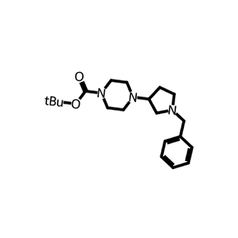 CC(C)(C)OC(=O)N1CCN(C2CCN(Cc3ccccc3)C2)CC1